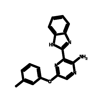 Cc1cccc(Oc2cnc(N)c(-c3nc4ccccc4[nH]3)n2)c1